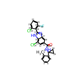 Cc1ccccc1C1(NC(=O)c2cc(Cl)c3[nH]c(-c4c(F)cccc4Cl)nc3c2)CC1